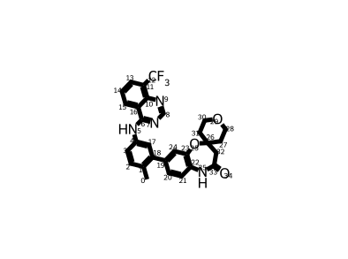 Cc1ccc(Nc2ncnc3c(C(F)(F)F)cccc23)cc1-c1ccc2c(c1)OC1(CCOCC1)CC(=O)N2